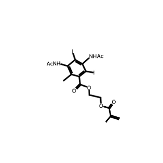 C=C(C)C(=O)OCCOC(=O)c1c(C)c(NC(C)=O)c(I)c(NC(C)=O)c1I